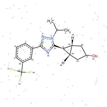 CC(C)n1nc(-c2cccc(C(F)(F)F)c2)nc1[C@H]1[C@@H]2CC(O)C[C@@H]21